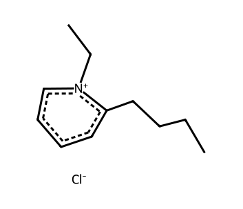 CCCCc1cccc[n+]1CC.[Cl-]